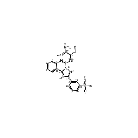 CC[C@@H](Nc1nc2ccccc2c2nc(-c3cccc(S(C)(=O)=O)c3)nn12)C(N)=O